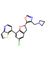 Clc1cc2c(c(-c3ccnc4ccsc34)c1)O[C@@H](c1ocnc1CN1CCC1)C2